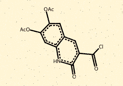 CC(=O)Oc1cc2cc(C(=O)Cl)c(=O)[nH]c2cc1OC(C)=O